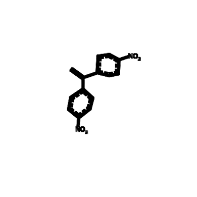 C=C(c1ccc([N+](=O)[O-])cc1)c1ccc([N+](=O)[O-])cc1